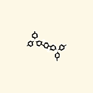 Cc1ccc(N(c2ccc(C)cc2)c2ccc3c(c2)oc2cc4c(cc23)oc2cc(N(c3ccc(C)cc3)c3ccc(C)cc3)ccc24)cc1